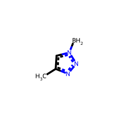 Bn1cc(C)nn1